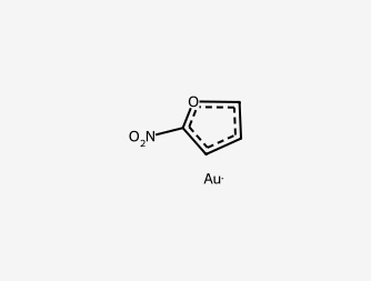 O=[N+]([O-])c1ccco1.[Au]